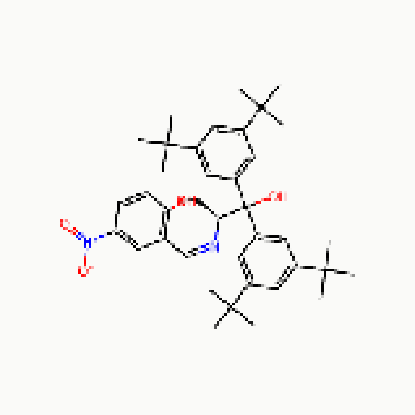 CC[C@H](N=Cc1cc([N+](=O)[O-])ccc1O)C(O)(c1cc(C(C)(C)C)cc(C(C)(C)C)c1)c1cc(C(C)(C)C)cc(C(C)(C)C)c1